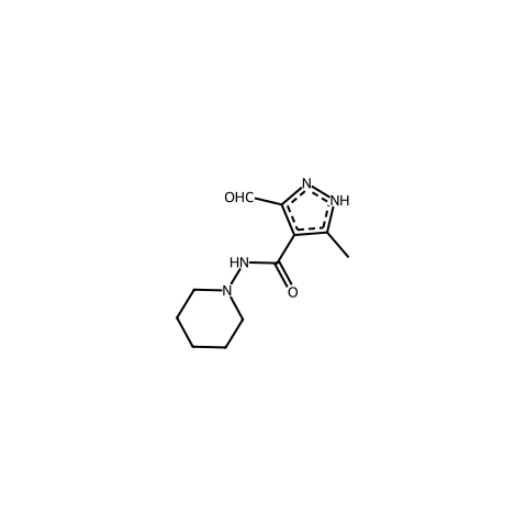 Cc1[nH]nc(C=O)c1C(=O)NN1CCCCC1